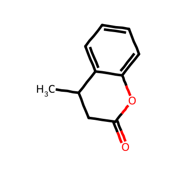 CC1CC(=O)Oc2ccccc21